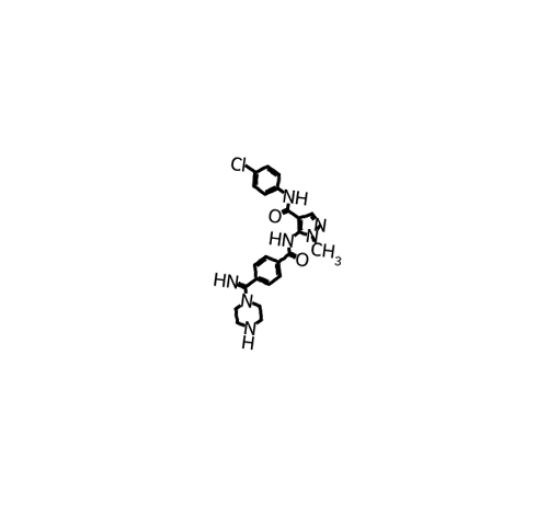 Cn1ncc(C(=O)Nc2ccc(Cl)cc2)c1NC(=O)c1ccc(C(=N)N2CCNCC2)cc1